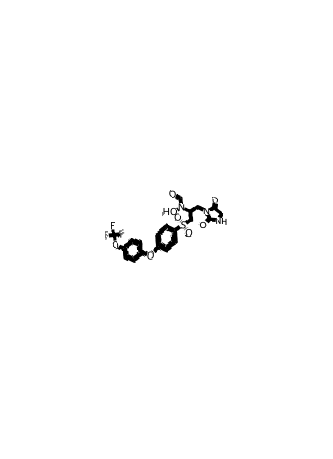 O=CN(O)C(CN1C(=O)CNC1=O)CS(=O)(=O)c1ccc(Oc2ccc(OC(F)(F)F)cc2)cc1